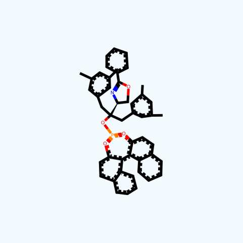 Cc1cc(C)cc(CC(Cc2cc(C)cc(C)c2)(Op2oc3ccc4ccccc4c3c3c(ccc4ccccc43)o2)[C@@H]2COC(c3ccccc3)=N2)c1